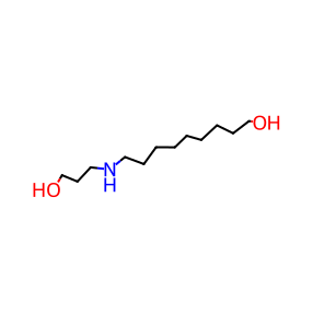 OCCCCCCCCCNCCCO